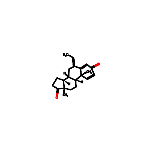 C/C=C1\C[C@@H]2[C@H](CC[C@]3(C)C(=O)CC[C@@H]23)[C@@]2(C)C=CC(=O)C=C12